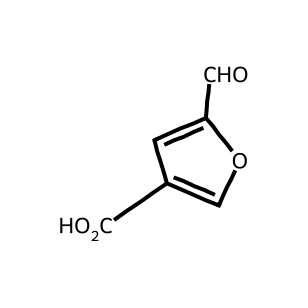 O=Cc1cc(C(=O)O)co1